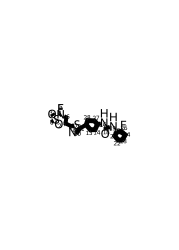 CS(=O)(=O)N(F)CCc1ncc(-c2ccc(NC(=O)Nc3ccccc3F)cc2)s1